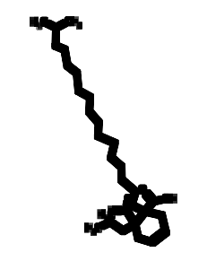 CC(C)CCCCCCCCCCCCCCCC1(C(=O)O)CC=CCC1(CC(C)C)C(=O)O